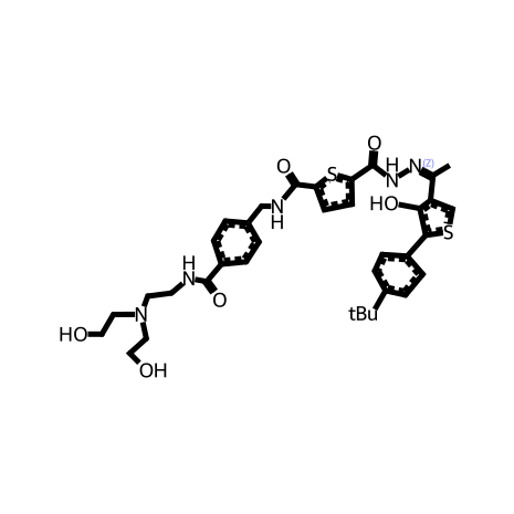 C/C(=N/NC(=O)c1ccc(C(=O)NCc2ccc(C(=O)NCCN(CCO)CCO)cc2)s1)c1csc(-c2ccc(C(C)(C)C)cc2)c1O